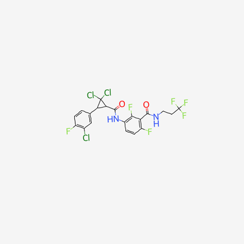 O=C(NCCC(F)(F)F)c1c(F)ccc(NC(=O)C2C(c3ccc(F)c(Cl)c3)C2(Cl)Cl)c1F